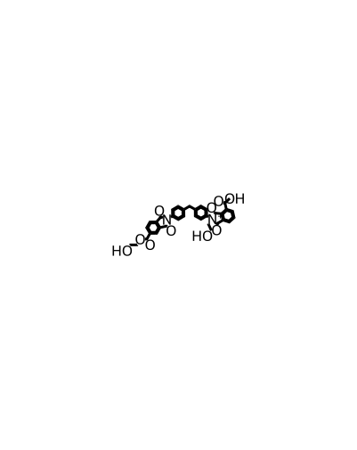 O=C(OCCO)c1ccc2c(c1)C(=O)N(c1ccc(Cc3ccc([N+]4(CCO)C(=O)c5cccc(C(=O)O)c5C4=O)cc3)cc1)C2=O